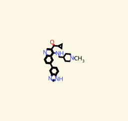 CN1CCC(CNc2c(C(=O)C3CC3)cnc3ccc(-c4ccc5[nH]cnc5c4)cc23)CC1